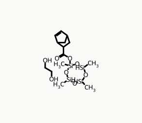 C[SiH]1O[SiH](C)O[Si](C)(OC(=O)C2CC3C=CC2C3)O[SiH](C)O1.OCCO